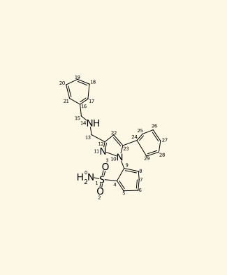 NS(=O)(=O)c1ccccc1-n1nc(CNCc2ccccc2)cc1-c1ccccc1